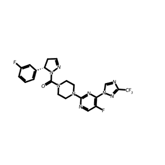 O=C(N1CCN(c2ncc(F)c(-n3cnc(C(F)(F)F)n3)n2)CC1)N1N=CC[C@H]1c1cccc(F)c1